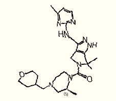 Cc1ccnc(Nc2n[nH]c3c2CN(C(=O)N2CCN(CC4CCOCC4)C[C@@H]2C)C3(C)C)n1